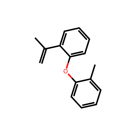 C=C(C)c1ccccc1Oc1ccccc1C